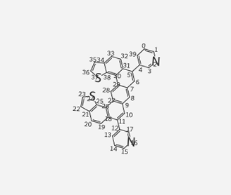 c1cncc(-c2cc3cc4cc(-c5cccnc5)c5ccc6ccsc6c5c4cc3c3c2ccc2ccsc23)c1